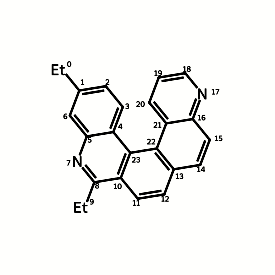 CCc1ccc2c(c1)nc(CC)c1ccc3ccc4ncccc4c3c12